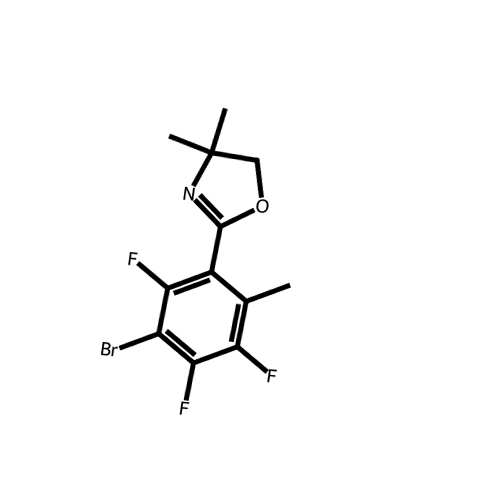 Cc1c(F)c(F)c(Br)c(F)c1C1=NC(C)(C)CO1